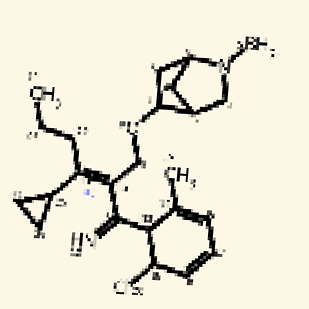 BN1CC2CC1CC2OC/C(C(=N)C1C(C)=CC=CC1Cl)=C(\CCC)C1CC1